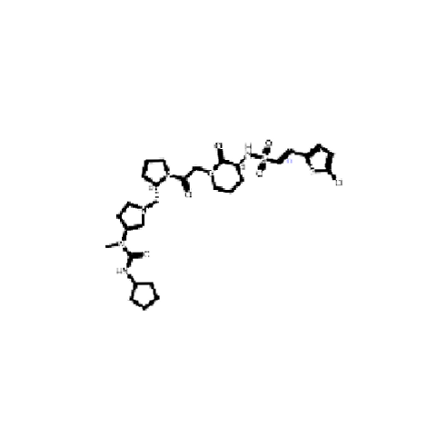 CN(C(=O)NC1CCCC1)C1CCN(C[C@@H]2CCCN2C(=O)CN2CCC[C@H](NS(=O)(=O)/C=C/c3ccc(Cl)s3)C2=O)C1